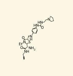 C#CCNC(=O)[C@@H](N)C1S[C@H](CNc2ccc(NC(=O)NCCN3CCCC3)cc2)C(=O)N1CC